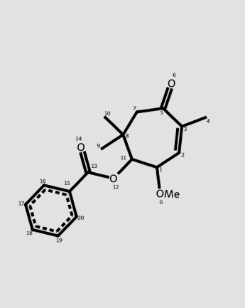 COC1C=C(C)C(=O)CC(C)(C)C1OC(=O)c1ccccc1